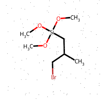 CO[Si](CC(C)CBr)(OC)OC